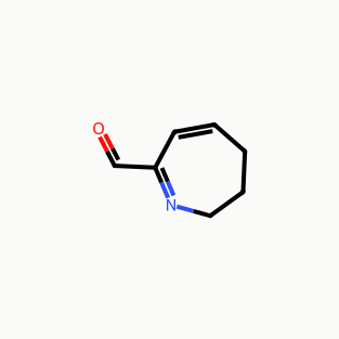 O=CC1=NCCCC=C1